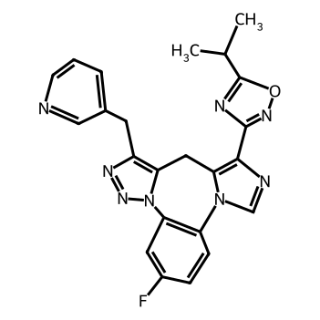 CC(C)c1nc(-c2ncn3c2Cc2c(Cc4cccnc4)nnn2-c2cc(F)ccc2-3)no1